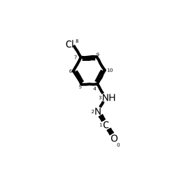 O=C=NNc1ccc(Cl)cc1